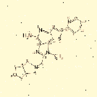 Cn1c(CN2CC3COCC3C2)nc2c(N)nc3cc(-c4ccccn4)sc3c21